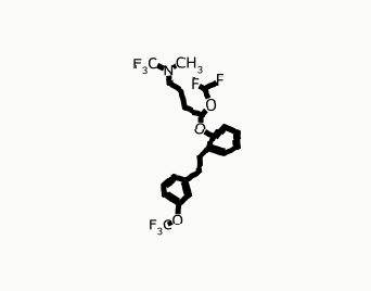 CN(CCCC(Oc1ccccc1CCc1cccc(OC(F)(F)F)c1)OC(F)F)C(F)(F)F